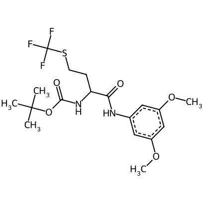 COc1cc(NC(=O)C(CCSC(F)(F)F)NC(=O)OC(C)(C)C)cc(OC)c1